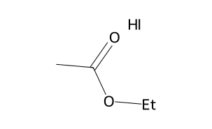 CCOC(C)=O.I